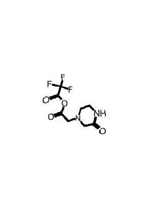 O=C1CN(CC(=O)OC(=O)C(F)(F)F)CCN1